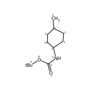 C[C]1CCC(NC(=O)OC(C)(C)C)CC1